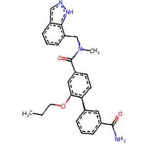 CCCOc1cc(C(=O)N(C)Cc2cccc3cn[nH]c23)ccc1-c1cccc(C(N)=O)c1